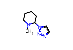 CN1CCCCC1n1ccnn1